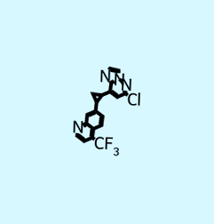 FC(F)(F)c1ccnc2cc(C3CC3c3cc(Cl)nn4ccnc34)ccc12